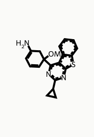 COC1(c2nc(C3CC3)nc3sc4ccccc4c23)C=CC=C(N)C1